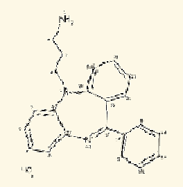 Cl.NCCCN1c2ccccc2N=C(c2ccccc2)c2ccccc21